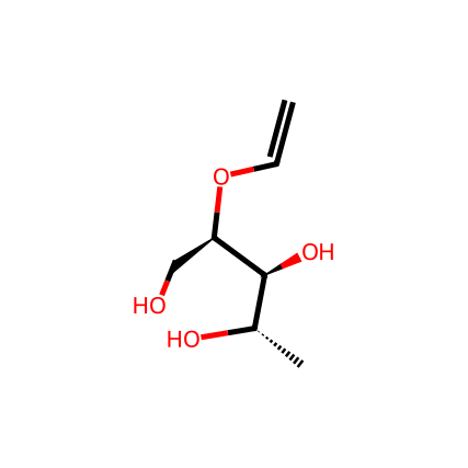 C=CO[C@H](CO)[C@@H](O)[C@H](C)O